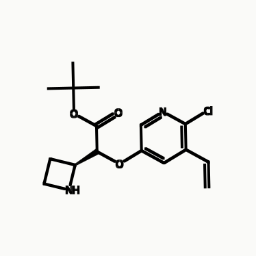 C=Cc1cc(OC(C(=O)OC(C)(C)C)[C@@H]2CCN2)cnc1Cl